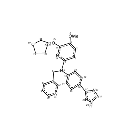 COc1ccc(N(Cc2cccnc2)c2ccc(-c3nn[nH]n3)cc2)nc1O[C@@H]1CCOC1